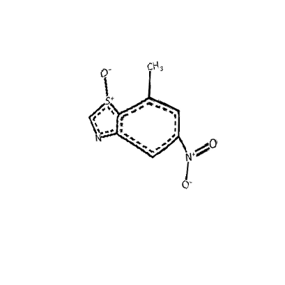 Cc1cc([N+](=O)[O-])cc2nc[s+]([O-])c12